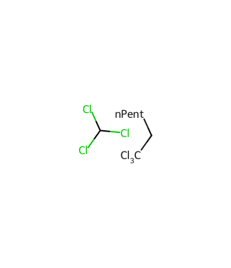 CCCCCCC(Cl)(Cl)Cl.ClC(Cl)Cl